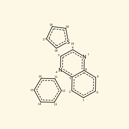 c1ccc2nccnc2c1.c1ccccc1.c1ccsc1